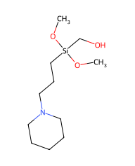 CO[Si](CO)(CCCN1CCCCC1)OC